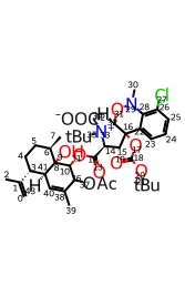 C=C(C)[C@@H]1CC[C@@H](C)[C@]2(O)[C@@H](OC(=O)[C@@H]3C[C@@]4(OC(=O)OC(C)(C)C)c5cccc(Cl)c5N(C)O[C@H]4[N+]3(C(=O)[O-])C(C)(C)C)C(OC(C)=O)C(C)=C[C@@H]12